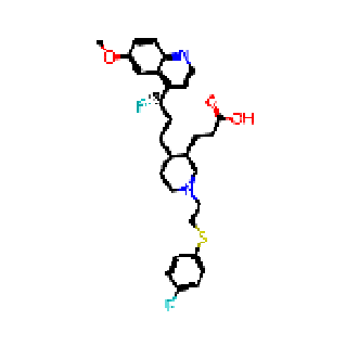 COc1ccc2nccc([C@@H](F)CCC3CCN(CCSc4ccc(F)cc4)CC3CCC(=O)O)c2c1